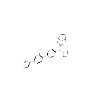 Cn1cc(-c2ccc(-c3cnc(N(C4COC4)[C@@H]4C[C@H]5CC[C@H](N5)[C@@H]4F)cn3)c(O)c2)cn1